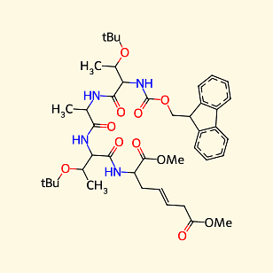 COC(=O)C/C=C/CC(NC(=O)C(NC(=O)C(C)NC(=O)C(NC(=O)OCC1c2ccccc2-c2ccccc21)C(C)OC(C)(C)C)C(C)OC(C)(C)C)C(=O)OC